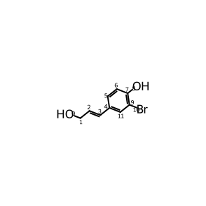 OCC=Cc1ccc(O)c(Br)c1